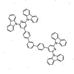 c1cc(-c2ccc(-c3cc(-n4c5ccccc5c5ccccc54)nc(-n4c5ccccc5c5ccccc54)c3)cc2)cc(-c2ccc(-c3cc(-n4c5ccccc5c5ccccc54)nc(-n4c5ccccc5c5ccccc54)c3)cc2)c1